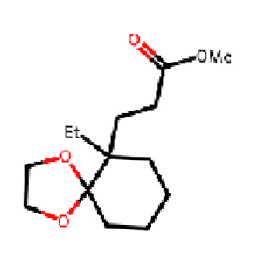 CCC1(CCC(=O)OC)CCCCC12OCCO2